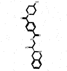 O=C(NCC(O)[C@@H]1Cc2ccccc2CN1)c1ccc(C(=O)N2CCC(O)CC2)cc1